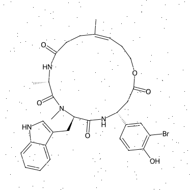 CC1=CCCOC(=O)C[C@H](c2ccc(O)c(Br)c2)NC(=O)[C@@H](Cc2c[nH]c3ccccc23)N(C)C(=O)[C@H](C)NC(=O)CC1